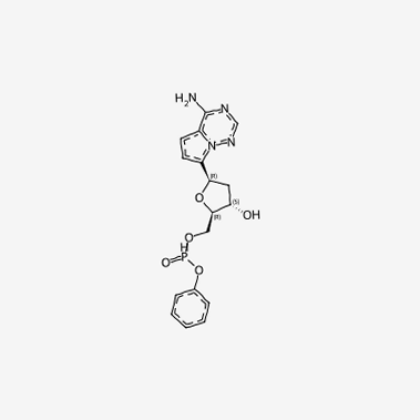 Nc1ncnn2c([C@H]3C[C@H](O)[C@@H](CO[PH](=O)Oc4ccccc4)O3)ccc12